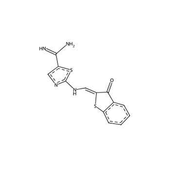 N=C(N)c1cnc(NC=C2Sc3ccccc3C2=O)s1